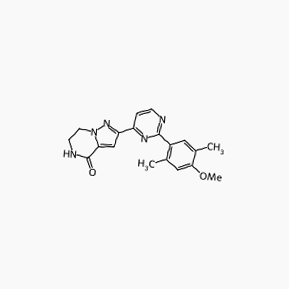 COc1cc(C)c(-c2nccc(-c3cc4n(n3)CCNC4=O)n2)cc1C